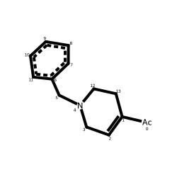 CC(=O)C1=CCN(Cc2ccccc2)CC1